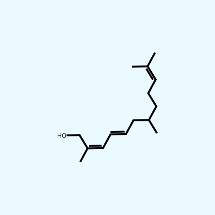 CC(C)=CCCC(C)CC=CC=C(C)CO